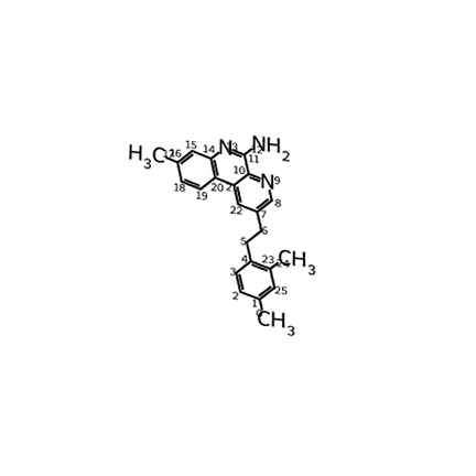 Cc1ccc(CCc2cnc3c(N)nc4cc(C)ccc4c3c2)c(C)c1